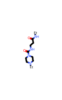 CCNC(=O)CCNC(=O)N1CCN(CC)CC1